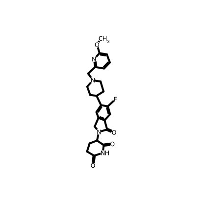 COc1cccc(CN2CCC(c3cc4c(cc3F)C(=O)N(C3CCC(=O)NC3=O)C4)CC2)n1